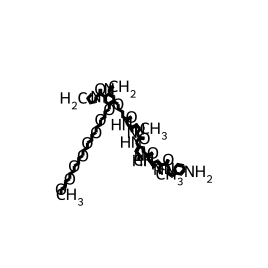 C=Nc1cc(OCCCC(=O)Nc2cn(C)c(C(=O)Nc3cc(C(=O)Nc4cc(C(=O)n5ccc6cc(N)ccc65)n(C)c4)n(C)c3)n2)c(OCCOCCOCCOCCOCCOCCOCCOC)cc1C(=O)N1CCC(=C)C1